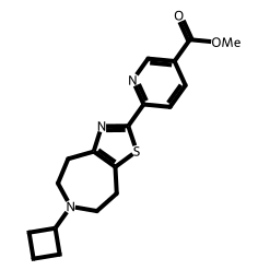 COC(=O)c1ccc(-c2nc3c(s2)CCN(C2CCC2)CC3)nc1